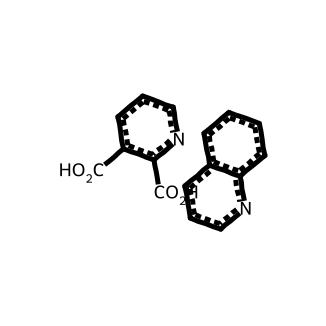 O=C(O)c1cccnc1C(=O)O.c1ccc2ncccc2c1